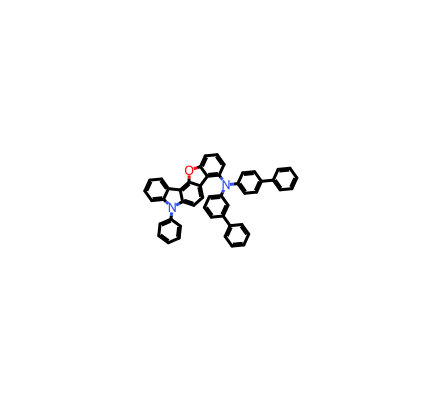 c1ccc(-c2ccc(N(c3cccc(-c4ccccc4)c3)c3cccc4oc5c(ccc6c5c5ccccc5n6-c5ccccc5)c34)cc2)cc1